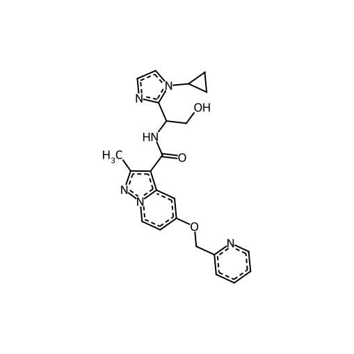 Cc1nn2ccc(OCc3ccccn3)cc2c1C(=O)NC(CO)c1nccn1C1CC1